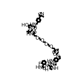 CNC(=O)c1c(F)cccc1Nc1nc(Nc2cc3c(cc2OC)CCN3C(=O)CN(C)C(=O)CCOCCOCCOCCOCCC(=O)NC(C(=O)N2C[C@H](O)C[C@H]2C(=O)NCc2ccc(-c3scnc3C)cc2)C(C)(C)C)nc2[nH]ccc12